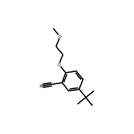 COCCOc1ccc(C(C)(C)C)cc1C#N